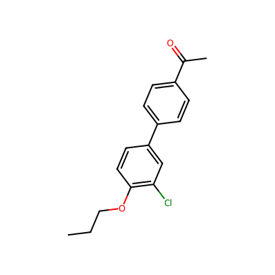 CCCOc1ccc(-c2ccc(C(C)=O)cc2)cc1Cl